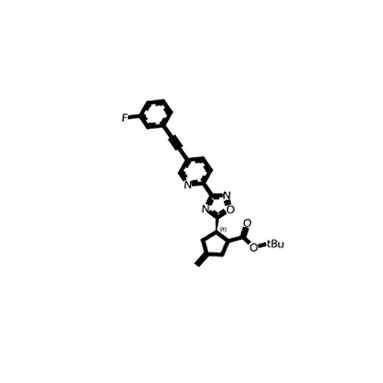 C=C1CC(C(=O)OC(C)(C)C)[C@H](c2nc(-c3ccc(C#Cc4cccc(F)c4)cn3)no2)C1